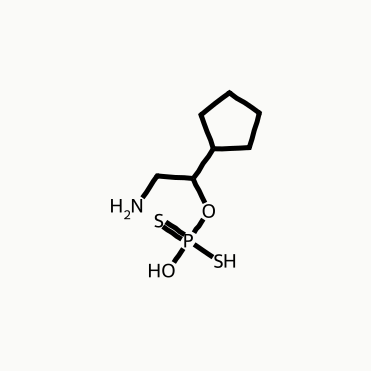 NCC(OP(O)(=S)S)C1CCCC1